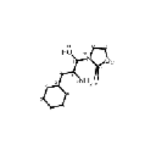 NC(CC1CCCCC1)C(O)N1CCOC1=O